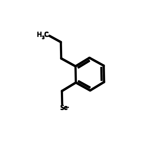 CCCc1ccccc1C[Se]